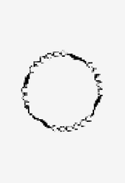 C1=C\CCCCCC/C=C/CCCCCC/C=C/CCCCCCC/C=C/CCCCC/1